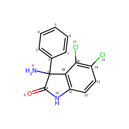 NC1(c2ccccc2)C(=O)Nc2ccc(Cl)c(Cl)c21